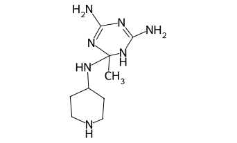 CC1(NC2CCNCC2)N=C(N)N=C(N)N1